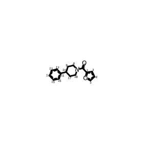 O=C(c1ccco1)N1CCC(c2ccccc2)CC1